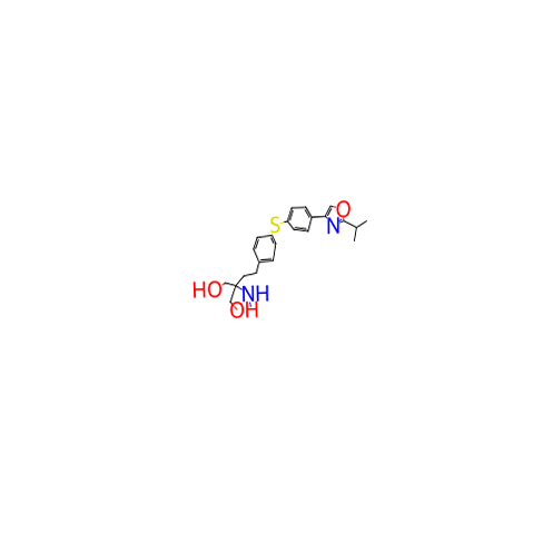 CNC(CO)(CO)CCc1ccc(Sc2ccc(-c3coc(C(C)C)n3)cc2)cc1